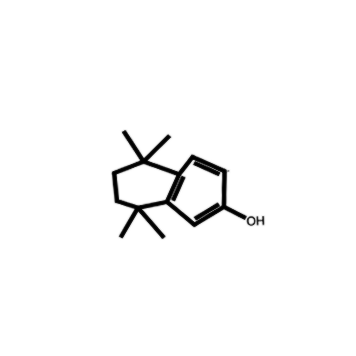 CC1(C)CCC(C)(C)c2cc(O)[c]cc21